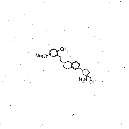 COc1ccc(C)c(CC[C@@H]2CCc3cc([C@H]4CC[C@](N)(CO)C4)ccc3C2)c1